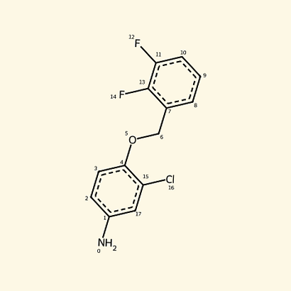 Nc1ccc(OCc2cccc(F)c2F)c(Cl)c1